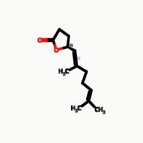 CC(C)=CCC/C(C)=C/[C@@H]1CCC(=O)O1